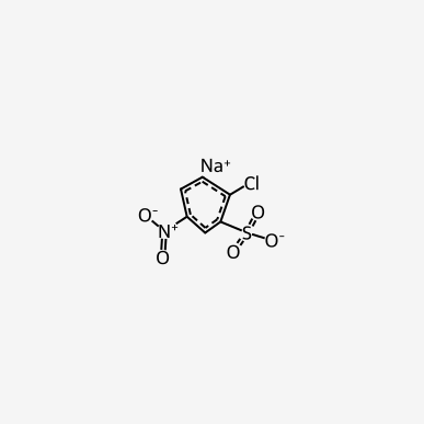 O=[N+]([O-])c1ccc(Cl)c(S(=O)(=O)[O-])c1.[Na+]